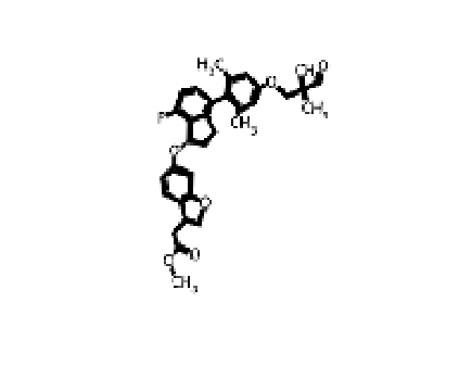 COC(=O)CC1COc2cc(O[C@@H]3CCc4c(-c5c(C)cc(OCC(C)(C)C=O)cc5C)ccc(F)c43)ccc21